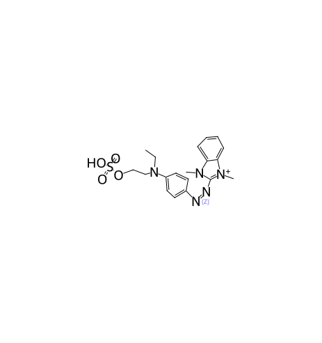 CCN(CCOS(=O)(=O)O)c1ccc(/N=N\c2n(C)c3ccccc3[n+]2C)cc1